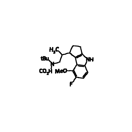 COc1c(F)ccc2[nH]c3c(c12)C(C(C)CN(C(=O)O)C(C)(C)C)CC3